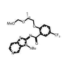 CCCCn1c(=NC(=O)c2cc(C(F)(F)F)ccc2OC[C@@H](C)OCOC)sc2ccncc21